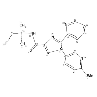 COc1ccc(-n2nc(C(=O)NC(C)(C)CF)nc2-c2ccccn2)cn1